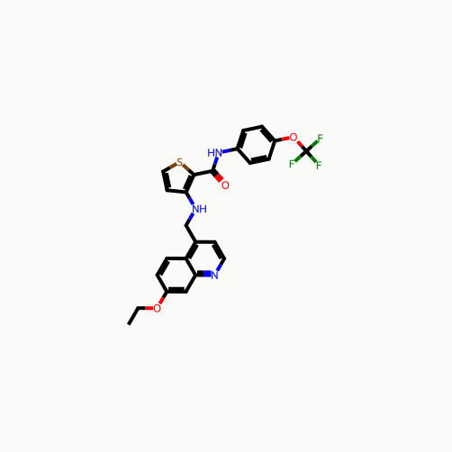 CCOc1ccc2c(CNc3ccsc3C(=O)Nc3ccc(OC(F)(F)F)cc3)ccnc2c1